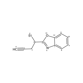 C#CCC(CC)c1nc2ccccc2o1